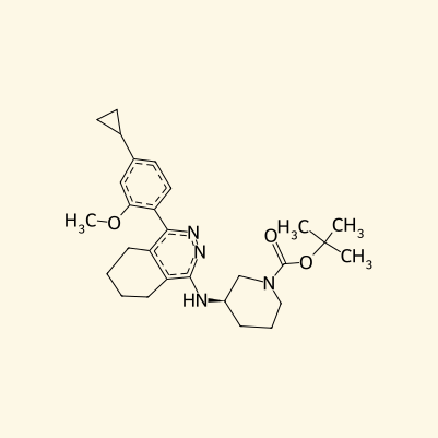 COc1cc(C2CC2)ccc1-c1nnc(N[C@@H]2CCCN(C(=O)OC(C)(C)C)C2)c2c1CCCC2